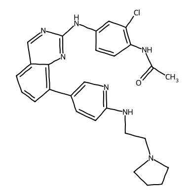 CC(=O)Nc1ccc(Nc2ncc3cccc(-c4ccc(NCCN5CCCC5)nc4)c3n2)cc1Cl